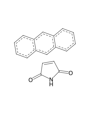 O=C1C=CC(=O)N1.c1ccc2cc3ccccc3cc2c1